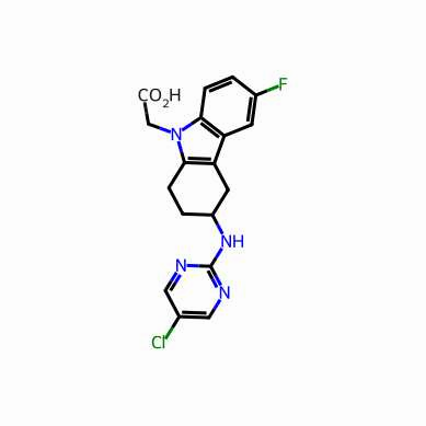 O=C(O)Cn1c2c(c3cc(F)ccc31)CC(Nc1ncc(Cl)cn1)CC2